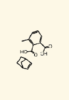 C1=CC2CCC1C2.Cc1cccc(C(=O)O)c1C(=O)O